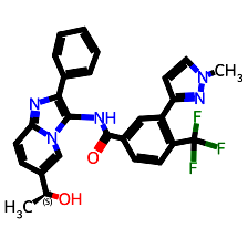 C[C@H](O)c1ccc2nc(-c3ccccc3)c(NC(=O)c3ccc(C(F)(F)F)c(-c4ccn(C)n4)c3)n2c1